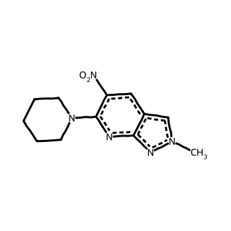 Cn1cc2cc([N+](=O)[O-])c(N3CCCCC3)nc2n1